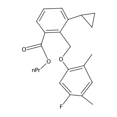 CCCOC(=O)c1cccc(C2CC2)c1COc1cc(F)c(C)cc1C